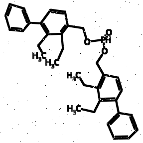 CCc1c(CO[PH](=O)OCc2ccc(-c3ccccc3)c(CC)c2CC)ccc(-c2ccccc2)c1CC